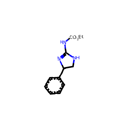 CCOC(=O)NC1=NC(c2ccccc2)CN1